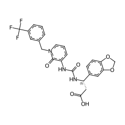 O=C(O)C[C@H](NC(=O)Nc1cccn(Cc2cccc(C(F)(F)F)c2)c1=O)c1ccc2c(c1)OCO2